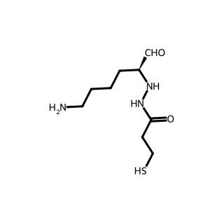 NCCCC[C@@H](C=O)NNC(=O)CCS